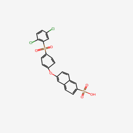 O=S(=O)(O)c1ccc2cc(Oc3ccc(S(=O)(=O)c4cc(Cl)ccc4Cl)cc3)ccc2c1